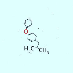 CC(C)CC1C=CC(Oc2ccccc2)=CC1